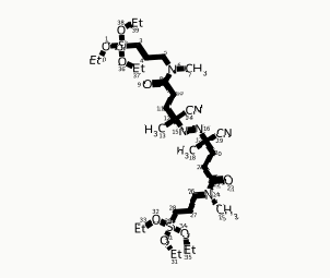 CCO[Si](CCCN(C)C(=O)CCC(C)(C#N)N=NC(C)(C#N)CCC(=O)N(C)CCC[Si](OCC)(OCC)OCC)(OCC)OCC